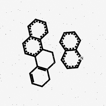 C1=CC2=C(CC1)CCc1c2ccc2ccccc12.c1ccc2ncccc2c1